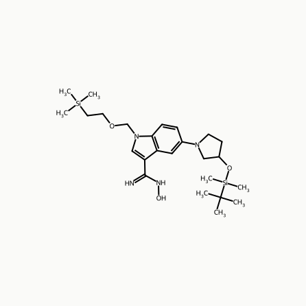 CC(C)(C)[Si](C)(C)OC1CCN(c2ccc3c(c2)c(C(=N)NO)cn3COCC[Si](C)(C)C)C1